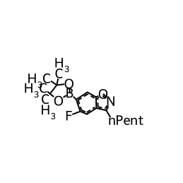 CCCCCc1noc2cc(B3OC(C)(C)C(C)(C)O3)c(F)cc12